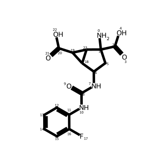 NC1(C(=O)O)CC(NC(=O)Nc2ccccc2F)C2C(C(=O)O)C21